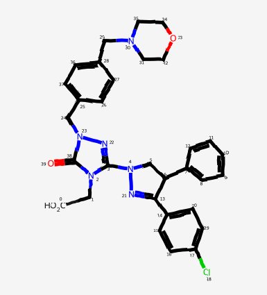 O=C(O)Cn1c(N2CC(c3ccccc3)C(c3ccc(Cl)cc3)=N2)nn(Cc2ccc(CN3CCOCC3)cc2)c1=O